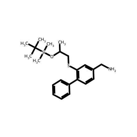 CC(CSc1cc(CN)ccc1-c1ccccc1)O[Si](C)(C)C(C)(C)C